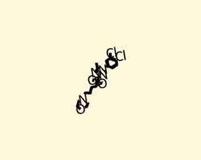 Cc1nc(S(=O)(=O)CCCCN2CCOCC2)nn1-c1ccc(Cl)c(Cl)c1